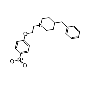 O=[N+]([O-])c1ccc(OCCN2CCC(Cc3ccccc3)CC2)cc1